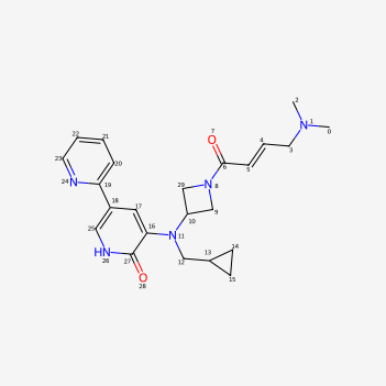 CN(C)C/C=C/C(=O)N1CC(N(CC2CC2)c2cc(-c3ccccn3)c[nH]c2=O)C1